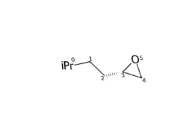 CC(C)CC[C@H]1CO1